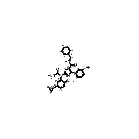 CCOc1cccc(-c2nc(N(C(N)=O)c3cc(C4CC4)ccc3C)sc2C(=O)NCc2ccccc2)c1